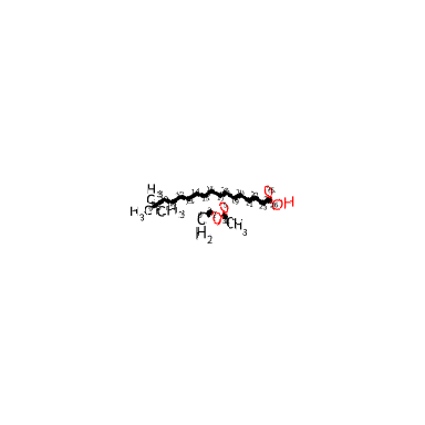 C=COC(C)=O.CC(C)(C)CCCCCCCCCCCCCCC(=O)O